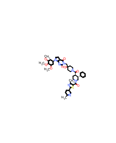 COc1cc(-n2ccc3c(=O)n(CC4(O)CCN(C(=O)[C@@H]5CCN(C(=O)c6sc(-c7ccc(C)nc7)nc6C)C[C@H]5c5ccccc5)CC4)cnc32)cc(OC)c1OC